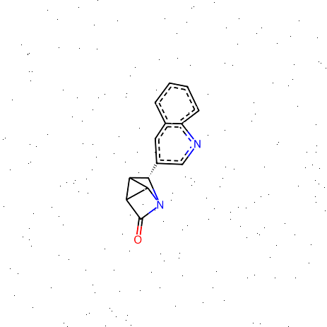 O=C1C2C3C2N1[C@H]3c1cnc2ccccc2c1